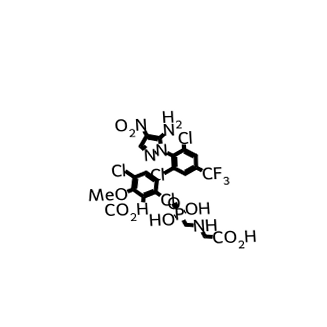 COc1c(Cl)ccc(Cl)c1C(=O)O.Nc1c([N+](=O)[O-])cnn1-c1c(Cl)cc(C(F)(F)F)cc1Cl.O=C(O)CNCP(=O)(O)O